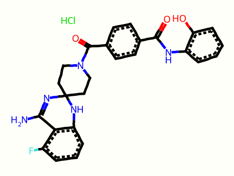 Cl.NC1=NC2(CCN(C(=O)c3ccc(C(=O)Nc4ccccc4O)cc3)CC2)Nc2cccc(F)c21